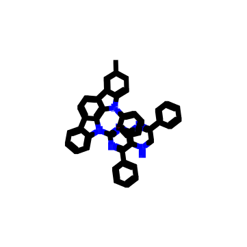 CC1C=c2c(n(-c3ccccc3)c3c2ccc2c4ccccc4n(-c4nc5c(c(-c6ccccc6)n4)NCC(c4ccccc4)=N5)c23)=CC1